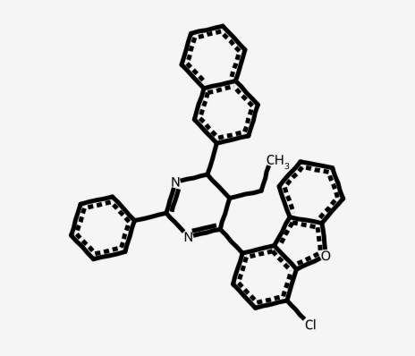 CCC1C(c2ccc(Cl)c3oc4ccccc4c23)=NC(c2ccccc2)=NC1c1ccc2ccccc2c1